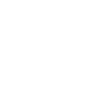 CC(O)C(c1ccccc1)c1ccc(C(F)(F)F)cc1